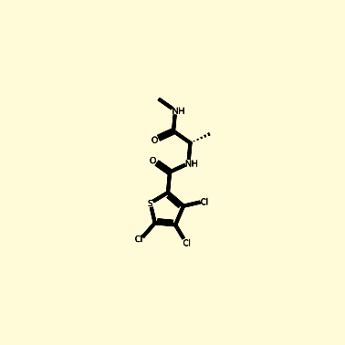 CNC(=O)[C@H](C)NC(=O)c1sc(Cl)c(Cl)c1Cl